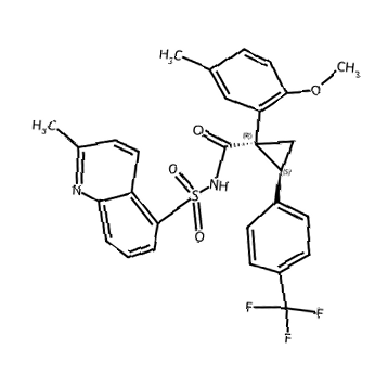 COc1ccc(C)cc1[C@@]1(C(=O)NS(=O)(=O)c2cccc3nc(C)ccc23)C[C@H]1c1ccc(C(F)(F)F)cc1